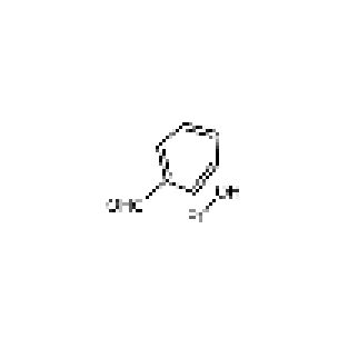 CCO.O=Cc1ccccc1